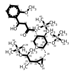 COc1ccccc1C(O)CC(=O)C[C@H]1CO[C@@H](C[C@@H]2O[C@H]2[C@H](C)[C@H](C)O[Si](C)(C)C)[C@@H](O[Si](C)(C)C)[C@@H]1O[Si](C)(C)C